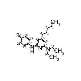 CCCCCc1cc(N(CC)CC)nc(Nc2ccc(F)cc2)n1